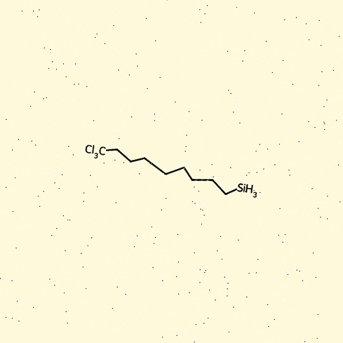 [SiH3]CCCCCCCCC(Cl)(Cl)Cl